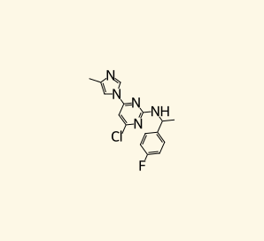 Cc1cn(-c2cc(Cl)nc(NC(C)c3ccc(F)cc3)n2)cn1